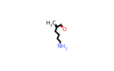 C=C([C]=O)CCCCN